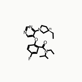 CC[C@@H]1CCN(c2ncncc2Oc2ccc(F)cc2C(=O)N(CC)C(C)C)C1